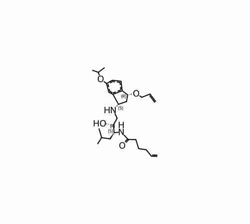 C=CCCCC(=O)N[C@@H](CC(C)C)[C@H](O)CN[C@H]1C[C@@H](OCC=C)c2ccc(OC(C)C)cc21